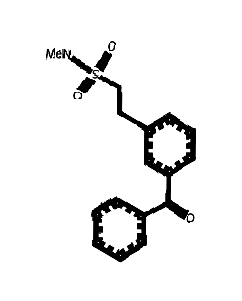 CNS(=O)(=O)CCc1cccc(C(=O)c2ccccc2)c1